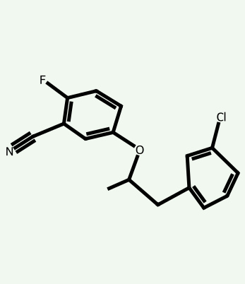 CC(Cc1cccc(Cl)c1)Oc1ccc(F)c(C#N)c1